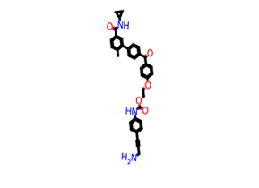 Cc1ccc(C(=O)NC2CC2)cc1-c1ccc(C(=O)c2ccc(OCCOC(=O)Nc3ccc(C#CCN)cc3)cc2)cc1